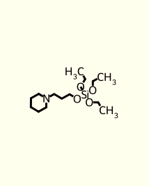 CCO[Si](OCC)(OCC)OCCCN1CCCCC1